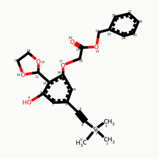 C[Si](C)(C)C#Cc1cc(O)c(C2OCCO2)c(OCC(=O)OCc2ccccc2)c1